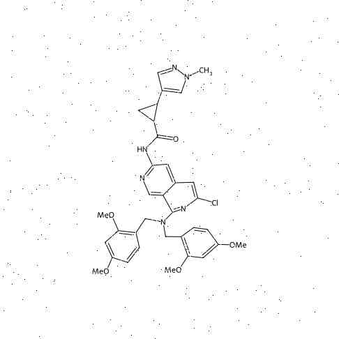 COc1ccc(CN(Cc2ccc(OC)cc2OC)c2nc(Cl)cc3cc(NC(=O)C4CC4c4cnn(C)c4)ncc23)c(OC)c1